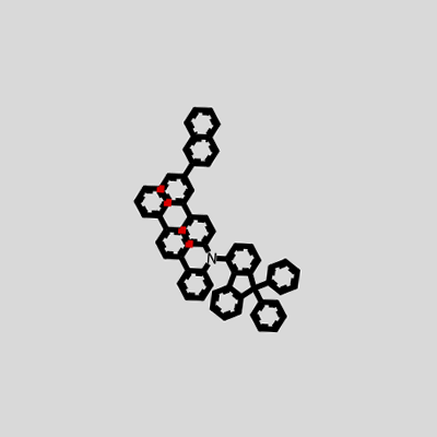 c1ccc(-c2ccc(-c3ccccc3N(c3ccc(-c4cccc(-c5ccc6ccccc6c5)c4)cc3)c3cccc4c3-c3ccccc3C4(c3ccccc3)c3ccccc3)cc2)cc1